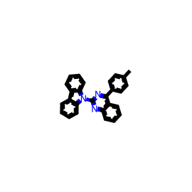 Cc1ccc(-c2nc(-n3c4ccccc4c4ccccc43)nc3ccccc23)cc1